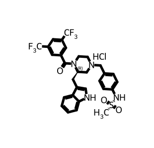 CS(=O)(=O)Nc1ccc(CN2CCN(C(=O)c3cc(C(F)(F)F)cc(C(F)(F)F)c3)[C@H](Cc3c[nH]c4ccccc34)C2)cc1.Cl